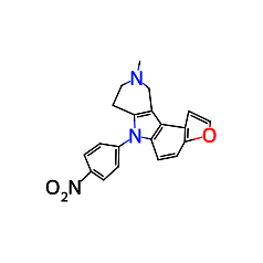 CN1CCc2c(c3c4ccoc4ccc3n2-c2ccc([N+](=O)[O-])cc2)C1